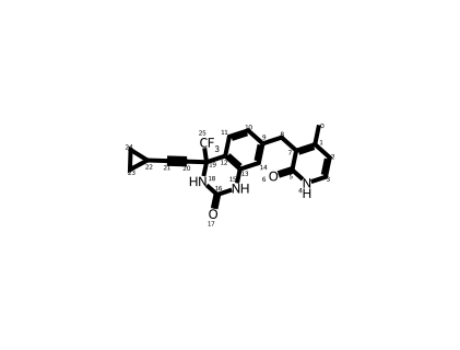 Cc1cc[nH]c(=O)c1Cc1ccc2c(c1)NC(=O)NC2(C#CC1CC1)C(F)(F)F